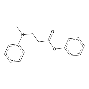 CN(CCC(=O)Oc1ccccc1)c1ccccc1